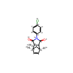 O=C1C2[C@H]3C=C[C@H](C3)[C@H]2C(=O)N1c1ccc(Cl)cc1